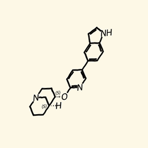 c1cc2cc(-c3ccc(O[C@H]4CCN5CCC[C@H]4C5)nc3)ccc2[nH]1